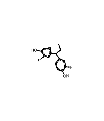 CCC(c1ccc(O)c(F)c1)c1ccc(O)c(F)c1